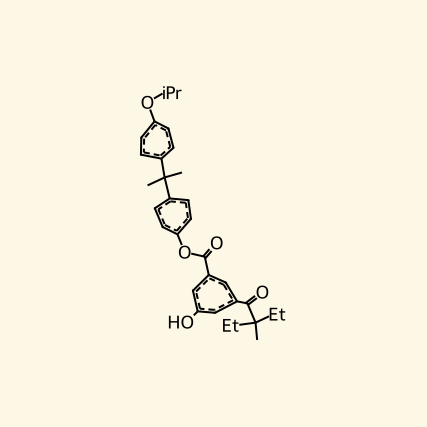 CCC(C)(CC)C(=O)c1cc(O)cc(C(=O)Oc2ccc(C(C)(C)c3ccc(OC(C)C)cc3)cc2)c1